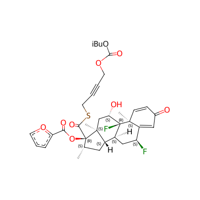 CC(C)COC(=O)OCC#CCSC(=O)[C@@]1(OC(=O)c2ccco2)[C@@H](C)C[C@H]2[C@@H]3C[C@H](F)C4=CC(=O)C=C[C@]4(C)[C@@]3(F)[C@@H](O)C[C@@]21C